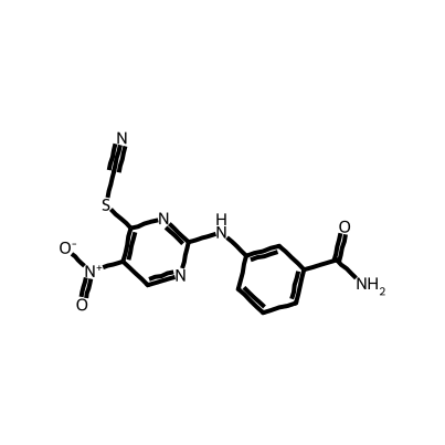 N#CSc1nc(Nc2cccc(C(N)=O)c2)ncc1[N+](=O)[O-]